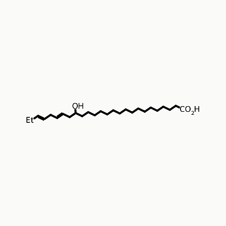 CCC=CCC=CCC(O)CCCCCCCCCCCCCCCCC(=O)O